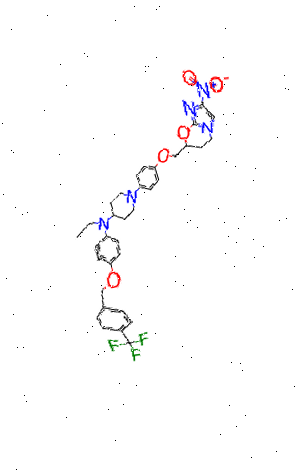 CCN(c1ccc(OCc2ccc(C(F)(F)F)cc2)cc1)C1CCN(c2ccc(OCC3CCn4cc([N+](=O)[O-])nc4O3)cc2)CC1